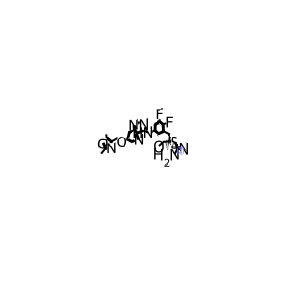 C/N=C(/N)S[C@@](C)(COC)Cc1cc(Nc2ncnc3cc(OCc4nc(C)oc4C)cnc23)cc(F)c1F